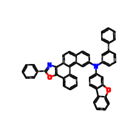 c1ccc(-c2cccc(N(c3ccc4c(c3)oc3ccccc34)c3ccc4ccc5c6nc(-c7ccccc7)oc6c6ccccc6c5c4c3)c2)cc1